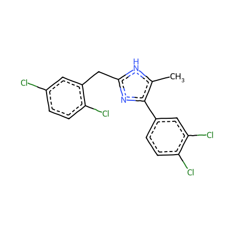 Cc1[nH]c(Cc2cc(Cl)ccc2Cl)nc1-c1ccc(Cl)c(Cl)c1